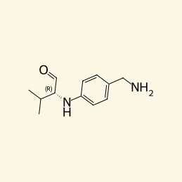 CC(C)[C@H](C=O)Nc1ccc(CN)cc1